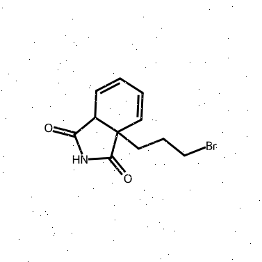 O=C1NC(=O)C2(CCCBr)C=CC=CC12